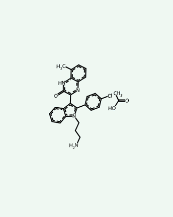 CC(=O)O.Cc1cccc2nc(-c3c(-c4ccc(Cl)cc4)n(CCCN)c4ccccc34)c(=O)[nH]c12